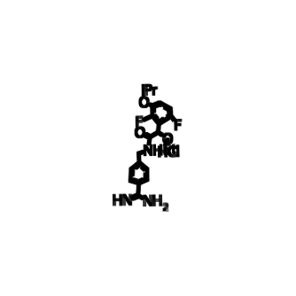 CCOC(C(=O)NCc1ccc(C(=N)N)cc1)c1c(F)ccc(OC(C)C)c1F.Cl